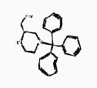 N#CC[C@H]1CN(C(c2ccccc2)(c2ccccc2)c2ccccc2)CCN1